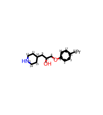 CC(C)c1ccc(OCC(O)CC2CCNCC2)cc1